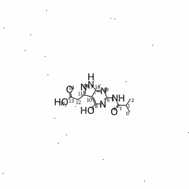 CC(C)C(=O)Nc1nc(O)c2c(CC(=O)O)n[nH]c2n1